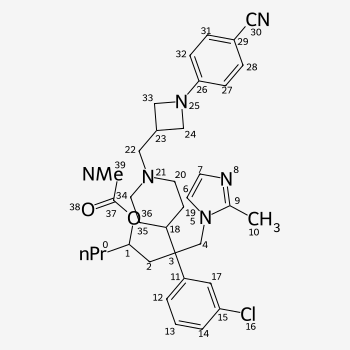 CCCC(CC(Cn1ccnc1C)(c1cccc(Cl)c1)C1CCN(CC2CN(c3ccc(C#N)cc3)C2)CC1)OC(=O)NC